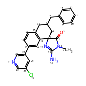 CN1C(=O)[C@]2(CC(Cc3ccccc3)Cc3ccc(-c4cncc(Cl)c4)cc32)N=C1N